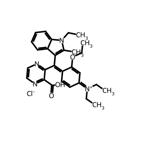 CCOC1=CC(=[N+](CC)CC)C=CC1=C(c1nccnc1C(=O)O)c1c(C)n(CC)c2ccccc12.[Cl-]